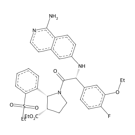 CCOC(=O)[C@H]1CCN(C(=O)[C@H](Nc2ccc3c(N)nccc3c2)c2ccc(F)c(OCC)c2)[C@H]1c1ccccc1S(=O)(=O)CC